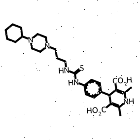 CC1=C(C(=O)O)C(c2ccc(NC(=S)NCCCN3CCN(C4CCCCC4)CC3)cc2)C(C(=O)O)=C(C)N1